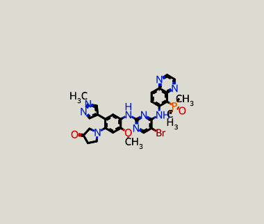 COc1cc(N2CCC(=O)C2)c(-c2cnn(C)c2)cc1Nc1ncc(Br)c(Nc2ccc3nccnc3c2P(C)(C)=O)n1